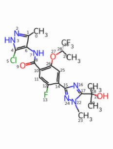 Cc1n[nH]c(Cl)c1NC(=O)c1cc(F)c(-c2nc(C(C)(C)O)n(C)n2)cc1O[C@@H](C)C(F)(F)F